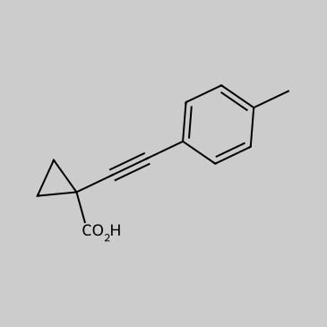 Cc1ccc(C#CC2(C(=O)O)CC2)cc1